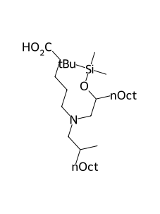 CCCCCCCCC(C)CN(CCCCC(=O)O)CC(CCCCCCCC)O[Si](C)(C)C(C)(C)C